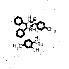 Cc1ccc(C)c(C)c1.Cc1ccc(S(=O)(=O)N[C@H](c2ccccc2)[C@H](N)c2ccccc2)cc1.[Ru]